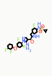 Nc1c(C(=O)c2cc3cc(F)c(NS(=O)(=O)C4CC4)cc3[nH]2)cnn1-c1c(F)cc(Oc2cccc(F)c2F)cc1F